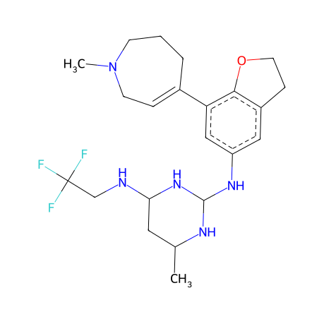 CC1CC(NCC(F)(F)F)NC(Nc2cc3c(c(C4=CCN(C)CCC4)c2)OCC3)N1